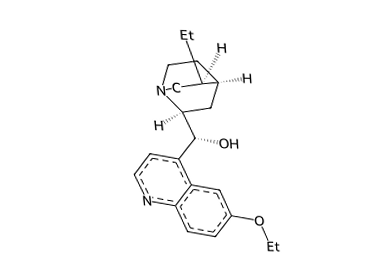 CCOc1ccc2nccc([C@@H](O)[C@@H]3C[C@@H]4CCN3C[C@H]4CC)c2c1